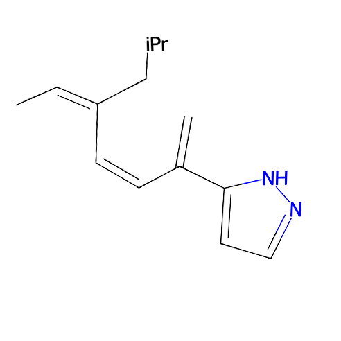 C=C(/C=C\C(=C/C)CC(C)C)c1ccn[nH]1